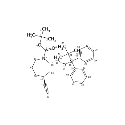 CC(C)(C)OC(=O)N1CCC[C@H](C#N)C[C@H]1CO[Si](c1ccccc1)(c1ccccc1)C(C)(C)C